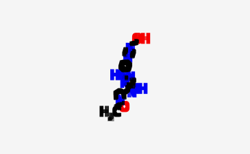 C=CC(=O)N1CCCC(c2n[nH]c3cnc(Nc4ccc(N5CCN(CCO)CC5)cc4)nc23)C1